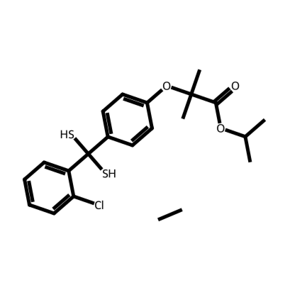 CC.CC(C)OC(=O)C(C)(C)Oc1ccc(C(S)(S)c2ccccc2Cl)cc1